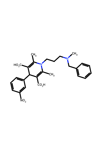 CC1=C(C(=O)O)C(c2cccc([N+](=O)[O-])c2)C(C(=O)O)=C(C)N1CCCN(C)Cc1ccccc1